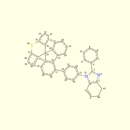 C1=Cc2c(nc(-c3ccccc3)n2-c2ccc(-c3cccc4c3-c3ccccc3C43c4ccccc4Sc4ccccc43)cc2)CC1